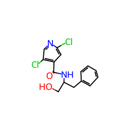 O=C(NC(CO)Cc1ccccc1)c1cc(Cl)ncc1Cl